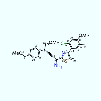 COCc1ccc([C@H](C#CC(N)c2nc(-c3cc(C)c(OC)cc3Cl)c(C)s2)COC)cc1